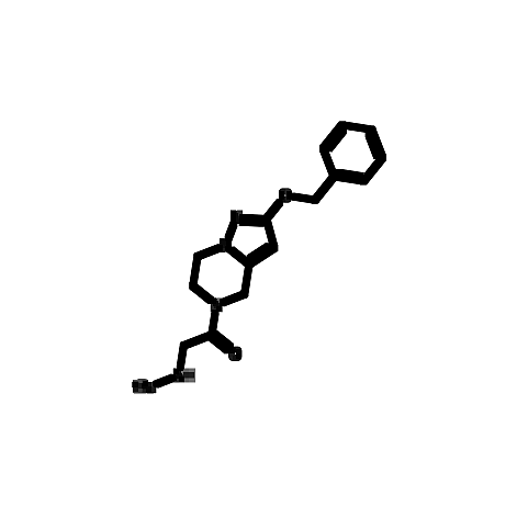 CC(C)(C)NCC(=O)N1CCn2nc(OCc3ccccc3)cc2C1